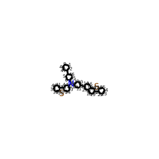 c1ccc(-c2ccc(N(c3ccc(-c4ccc5c(ccc6c7ccccc7sc56)c4)cc3)c3ccc4sc5ccccc5c4c3)cc2)cc1